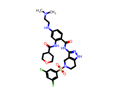 CN(C)CCNc1ccc(C(=O)Nc2n[nH]c3c2CN(S(=O)(=O)c2cc(F)cc(F)c2)CC3)c(NC(=O)C2CCOCC2)c1